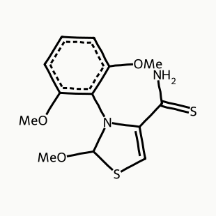 COc1cccc(OC)c1N1C(C(N)=S)=CSC1OC